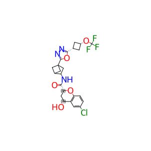 O=C(NC1CC2(c3nnc([C@H]4C[C@@H](OC(F)(F)F)C4)o3)CC1C2)[C@H]1C[C@@H](O)c2cc(Cl)ccc2O1